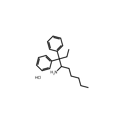 CCCCCC(N)C(CC)(c1ccccc1)c1ccccc1.Cl